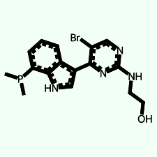 CP(C)c1cccc2c(-c3nc(NCCO)ncc3Br)c[nH]c12